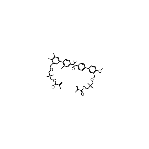 C=C(C)C(=O)OCC(C)(C)COCc1cc(-c2ccc(S(=O)(=O)c3ccc(-c4cc(C)c(C)c(COCC(C)(C)COC(=O)C(=C)C)c4)c(C)c3)cc2)ccc1OC